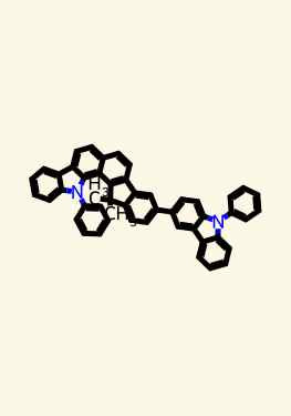 CC1(C)c2ccc(-c3ccc4c(c3)c3ccccc3n4-c3ccccc3)cc2-c2ccc3ccc4c5ccccc5n(-c5ccccc5)c4c3c21